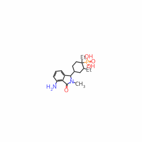 CCC1CC(C2c3cccc(N)c3C(=O)N2C)CCC1(CC)P(=O)(O)O